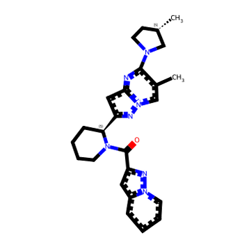 Cc1cn2nc([C@@H]3CCCCN3C(=O)c3cc4ccccn4n3)cc2nc1N1CC[C@H](C)C1